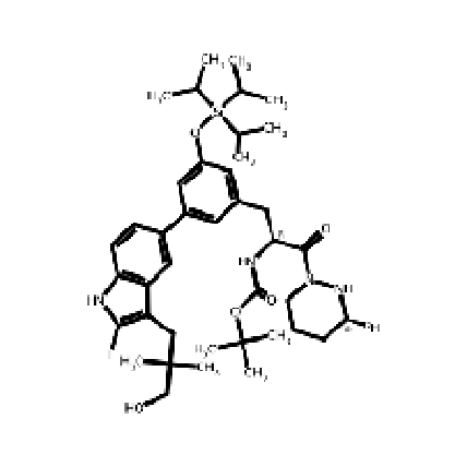 [2H][C@H]1CCCN(C(=O)[C@H](Cc2cc(O[Si](C(C)C)(C(C)C)C(C)C)cc(-c3ccc4[nH]c(I)c(CC(C)(C)CO)c4c3)c2)NC(=O)OC(C)(C)C)N1